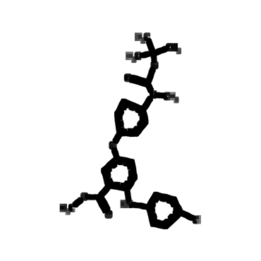 COC(=O)c1cc(Oc2ccc(N(C)C(=O)OC(C)(C)C)cc2)ccc1Nc1ccc(Cl)cc1